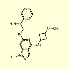 COC1CC(Nc2nc(NCC(N)c3ccccc3)nc3c2cnn3C)C1